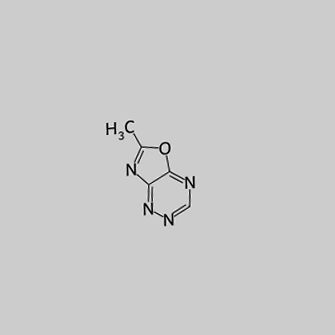 Cc1nc2nncnc2o1